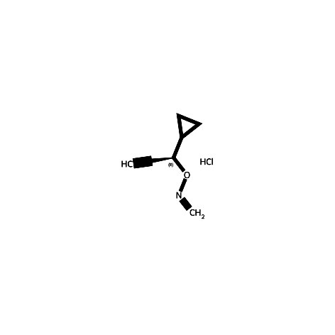 C#C[C@H](ON=C)C1CC1.Cl